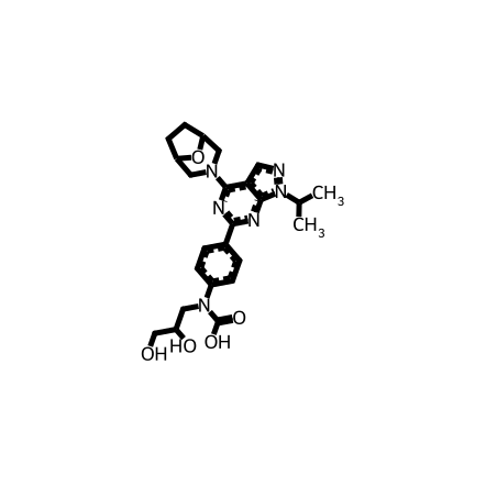 CC(C)n1ncc2c(N3CC4CCC(C3)O4)nc(-c3ccc(N(CC(O)CO)C(=O)O)cc3)nc21